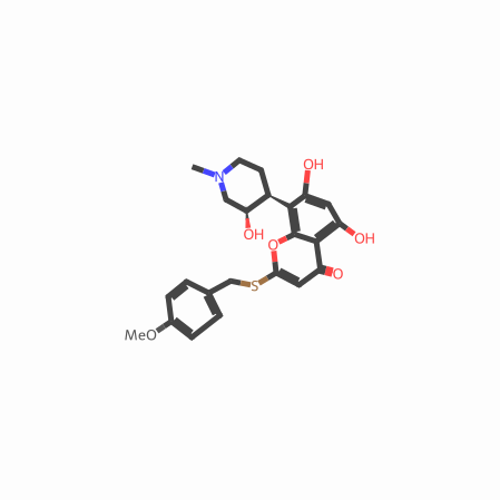 COc1ccc(CSc2cc(=O)c3c(O)cc(O)c([C@@H]4CCN(C)C[C@@H]4O)c3o2)cc1